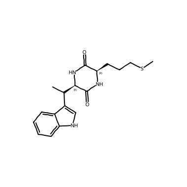 CSCCC[C@H]1NC(=O)[C@@H](C(C)c2c[nH]c3ccccc23)NC1=O